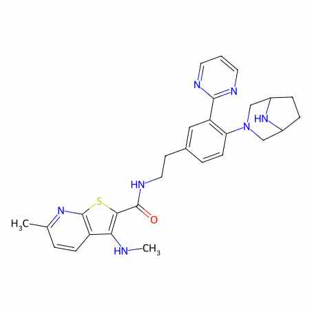 CNc1c(C(=O)NCCc2ccc(N3CC4CCC(C3)N4)c(-c3ncccn3)c2)sc2nc(C)ccc12